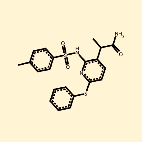 Cc1ccc(S(=O)(=O)Nc2nc(Sc3ccccc3)ccc2C(C)C(N)=O)cc1